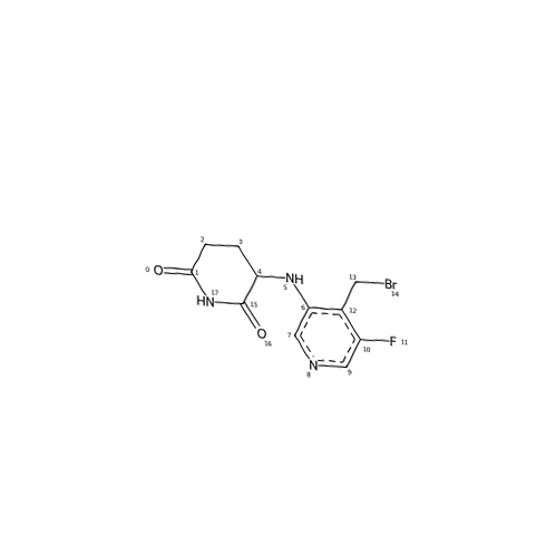 O=C1CCC(Nc2cncc(F)c2CBr)C(=O)N1